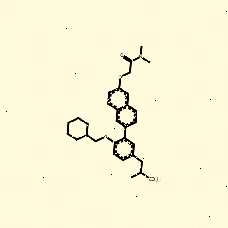 CC(Cc1ccc(OCC2CCCCC2)c(-c2ccc3cc(OCC(=O)N(C)C)ccc3c2)c1)C(=O)O